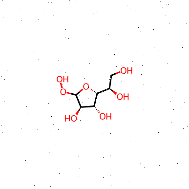 OC[C@@H](O)[C@H]1OC(OO)[C@H](O)[C@H]1O